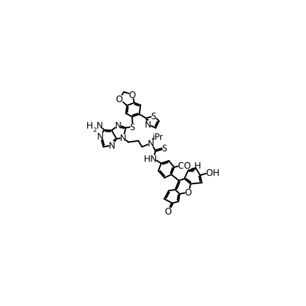 CC(C)N(CCCn1c(Sc2cc3c(cc2-c2nccs2)OCO3)nc2c(N)ncnc21)C(=S)Nc1ccc(-c2c3ccc(=O)cc-3oc3cc(O)ccc23)c(C(=O)O)c1